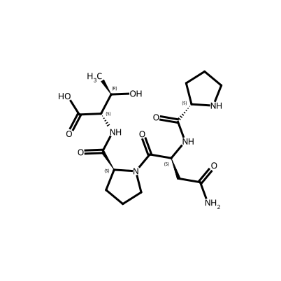 C[C@@H](O)[C@H](NC(=O)[C@@H]1CCCN1C(=O)[C@H](CC(N)=O)NC(=O)[C@@H]1CCCN1)C(=O)O